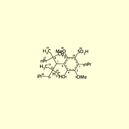 CCCc1c(OC)c(O)c(C(C(C)(C)CCC)C(C)(C)CC(C)C)c(OC)c1S(=O)(=O)O